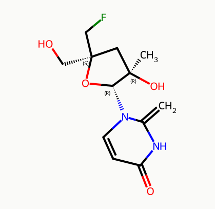 C=C1NC(=O)C=CN1[C@@H]1O[C@@](CO)(CF)C[C@@]1(C)O